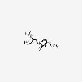 C=C=C(CO)CCn1ccc(OCC)nc1=O